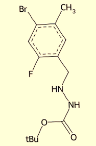 Cc1cc(CNNC(=O)OC(C)(C)C)c(F)cc1Br